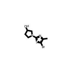 Cc1nc(N2CCC(O)C2)sc1Br